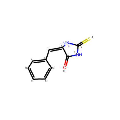 O=C1NC(=S)N/C1=C/c1ccccc1